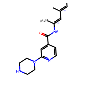 C/C=C(C)/C=C(\NC)NC(=O)c1ccnc(N2CCNCC2)c1